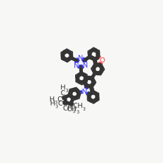 CC1(C)c2ccc(-n3c4ccccc4c4cc(-c5ccc6oc7cccc(-c8nc(-c9ccccc9)nc(-c9ccccc9)n8)c7c6c5)ccc43)cc2C(C)(C)C1(C)C